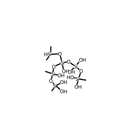 C[SiH](C)O[Si](O)(O[Si](C)(O)O[Si](C)(O)O)O[Si](O)(O)O[Si](C)(O)O